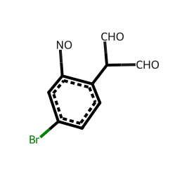 O=CC(C=O)c1ccc(Br)cc1N=O